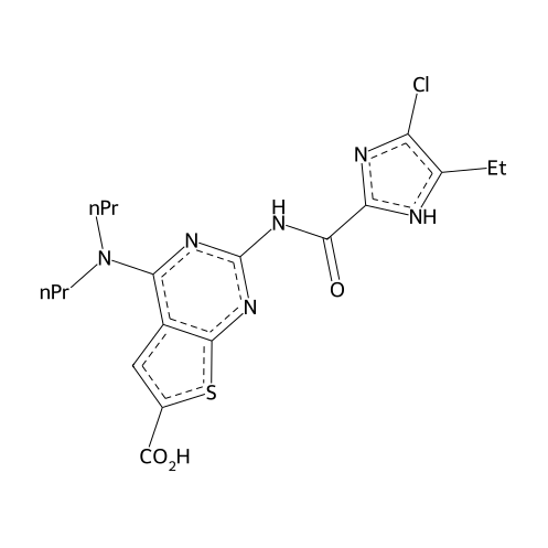 CCCN(CCC)c1nc(NC(=O)c2nc(Cl)c(CC)[nH]2)nc2sc(C(=O)O)cc12